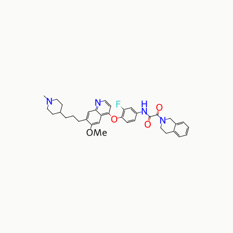 COc1cc2c(Oc3ccc(NC(=O)C(=O)N4CCc5ccccc5C4)cc3F)ccnc2cc1CCCC1CCN(C)CC1